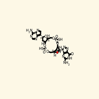 Nc1nc2c(nnn2[C@@H]2S[C@@H]3COP(=O)(S)O[C@H]4C[C@H](c5cnn6c(N)ncnc56)O[C@@H]4COP(=O)(S)O[C@@H]2[C@@H]3O)c(=O)[nH]1